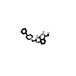 O=CC1NN=C2NC(CN3CCC(c4ccccc4)CC3)=Nc3cccc1c32